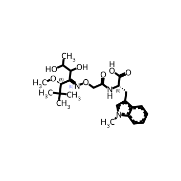 CO[C@H](/C(=N/OCC(=O)N[C@@H](Cc1cn(C)c2ccccc12)C(=O)O)C(O)C(C)O)C(C)(C)C